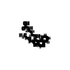 CCOCc1nc2cnc3ccccc3c2n1NCCCNC(=O)O